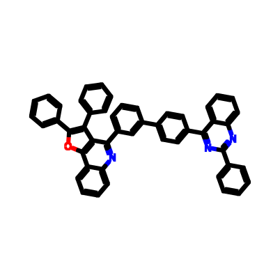 c1ccc(-c2nc(-c3ccc(-c4cccc(-c5nc6ccccc6c6oc(-c7ccccc7)c(-c7ccccc7)c56)c4)cc3)c3ccccc3n2)cc1